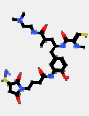 CN/C(=C\S)C(=O)N[C@@H](Cc1ccc(O)c(NC(=O)CCCN2C(=O)CC(SN)C2=O)c1)CC(C)C(=O)NCCN(C)C